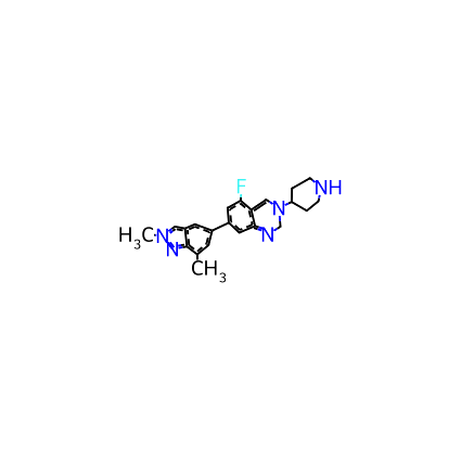 Cc1cc(-c2cc(F)c3c(c2)=NCN(C2CCNCC2)C=3)cc2cn(C)nc12